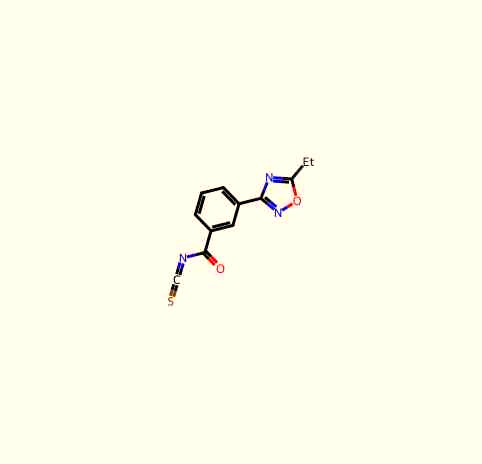 CCc1nc(-c2cccc(C(=O)N=C=S)c2)no1